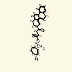 C1=CC=CNC=C1.CCOC(=O)CCC(=O)C1C=c2c(ccc3c2=CCc2ccccc2-3)CC1